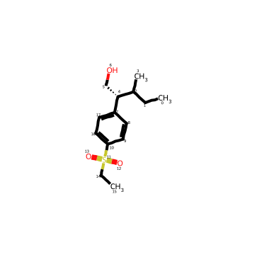 CCC(C)[C@@H](CO)c1ccc(S(=O)(=O)CC)cc1